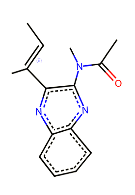 C/C=C(\C)c1nc2ccccc2nc1N(C)C(C)=O